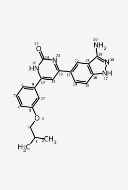 CC(C)COc1cccc(-c2cc(-c3ccc4[nH]nc(N)c4c3)nc(=O)[nH]2)c1